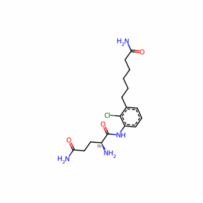 NC(=O)CCCCCc1cccc(NC(=O)[C@@H](N)CCC(N)=O)c1Cl